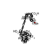 CCCNC(=O)Nc1cccc(S(=O)(=O)Nc2cccc(C(CC(=O)O)NC(=O)Nc3ccc(NC(=O)NCCOCCOCCOCCC(=O)NC(CC(=O)O)C(=O)N4CCCC4C(=O)NC(C(=O)OC4(CC)C(=O)OCc5c4cc4n(c5=O)Cc5c-4nc4cc(F)c(C)c6c4c5C(NC(=O)C(F)(F)F)CC6)C(C)C)cc3)c2)c1